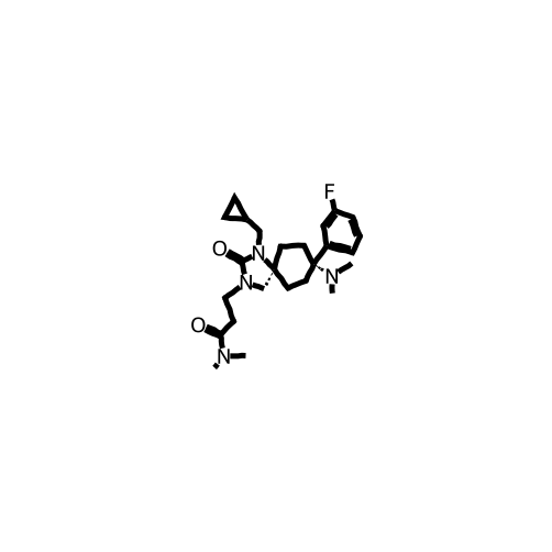 CN(C)C(=O)CCN1C[C@]2(CC[C@@](c3cccc(F)c3)(N(C)C)CC2)N(CC2CC2)C1=O